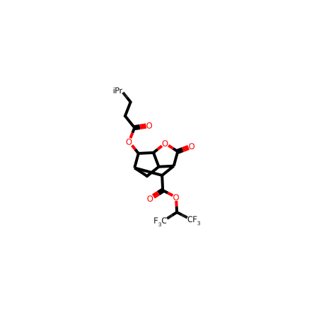 CC(C)CCC(=O)OC1C2CC3C1OC(=O)C3C2C(=O)OC(C(F)(F)F)C(F)(F)F